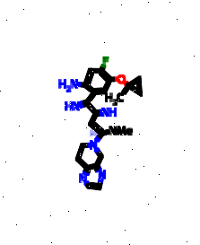 CN/C(=C\C(=N)C(=N)c1cc(OC2(C)CC2)c(F)cc1N)N1CCc2nccnc2C1